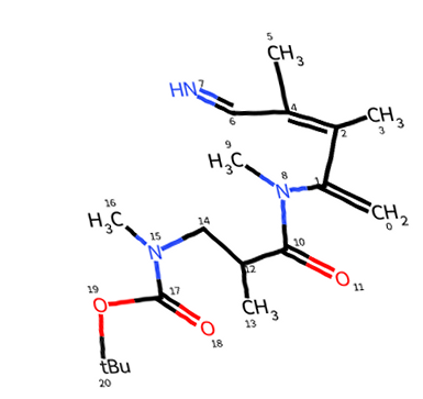 C=C(/C(C)=C(/C)C=N)N(C)C(=O)C(C)CN(C)C(=O)OC(C)(C)C